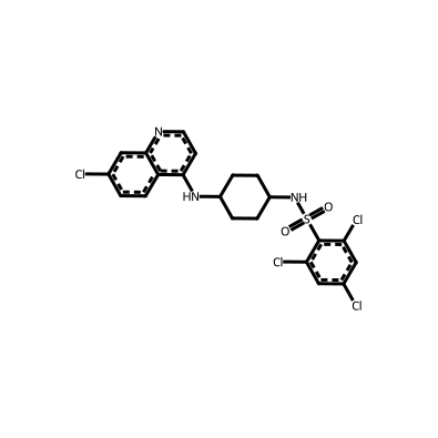 O=S(=O)(NC1CCC(Nc2ccnc3cc(Cl)ccc23)CC1)c1c(Cl)cc(Cl)cc1Cl